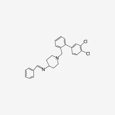 Clc1ccc(-c2ccccc2CN2CCC(N=Cc3ccccc3)CC2)cc1Cl